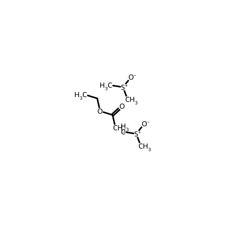 CCOC(C)=O.C[S+](C)[O-].C[S+](C)[O-]